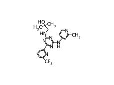 Cc1cc(Nc2nc(NCC(C)(C)O)nc(-c3cccc(C(F)(F)F)n3)n2)ccn1